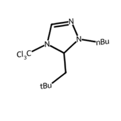 CCCCN1N=CN(C(Cl)(Cl)Cl)C1CC(C)(C)C